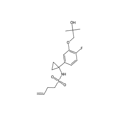 C=CCCS(=O)(=O)NC1(c2ccc(F)c(OCC(C)(C)O)c2)CC1